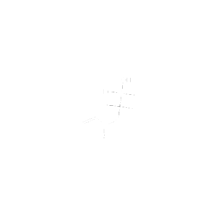 C=C[SiH](C)OC(C)(C)[Si](C)(O)CC